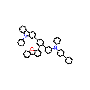 c1ccc(-c2ccc(N(c3ccccc3)c3cccc(-c4ccc(-c5ccc6c7ccccc7n(-c7ccccc7)c6c5)cc4-c4cccc5c4oc4ccccc45)c3)cc2)cc1